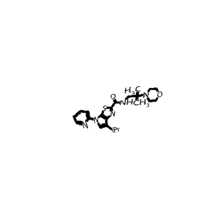 CC(C)c1cn(-c2ccccn2)c2sc(C(=O)NCC(C)(C)N3CCOCC3)nc12